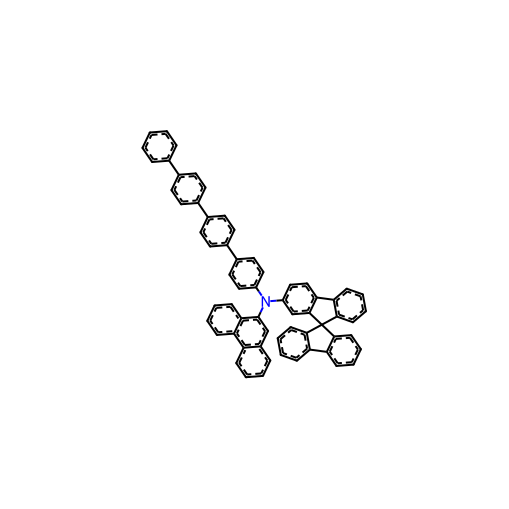 c1ccc(-c2ccc(-c3ccc(-c4ccc(N(c5ccc6c(c5)C5(c7ccccc7-c7ccccc75)c5ccccc5-6)c5cc6ccccc6c6ccccc56)cc4)cc3)cc2)cc1